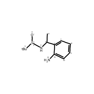 CC(N[S+]([O-])C(C)(C)C)c1ccccc1N